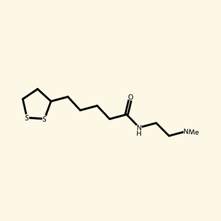 CNCCNC(=O)CCCCC1CCSS1